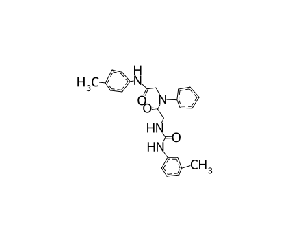 Cc1ccc(NC(=O)CN(C(=O)CNC(=O)Nc2cccc(C)c2)c2ccccc2)cc1